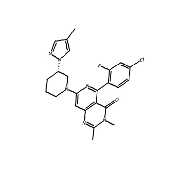 Cc1cnn([C@H]2CCCN(c3cc4nc(C)n(C)c(=O)c4c(-c4ccc(Cl)cc4F)n3)C2)c1